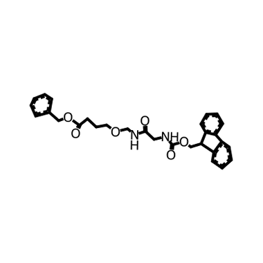 O=C(CNC(=O)OCC1c2ccccc2-c2ccccc21)NCOCCCC(=O)OCc1ccccc1